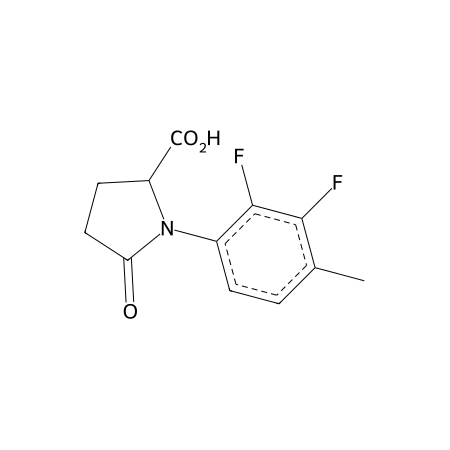 Cc1ccc(N2C(=O)CCC2C(=O)O)c(F)c1F